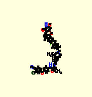 C=C/C(=N\C=C(/C)CC1=C[C@H](C)CN(C[C@@H]2[C@H]3CC=C(Cc4cc5c(cc4F)C4(CC4)C(CC4CCC(=O)NC4=O)C5=O)C[C@H]32)CC1)C(=O)N[C@H]1CC[C@H](Oc2ccc(C#N)c(Cl)c2)CC1